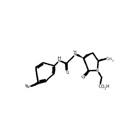 CC1C[C@H](NC(=O)Nc2ccc(Br)cc2)C(=O)N1CC(=O)O